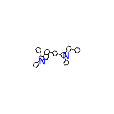 c1ccc(-c2cccc(-c3cc(-c4ccc(-c5cccc6c5ccc5nc(-c7ccccc7)cc(-c7ccccc7)c56)cc4)cc(-c4ccccc4)n3)c2)cc1